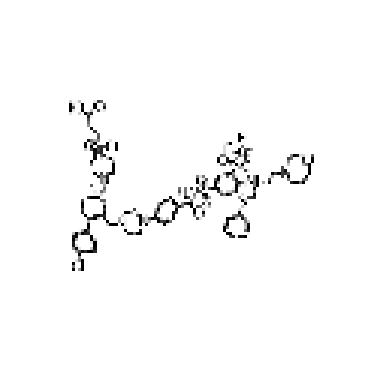 C[C@@]1(CN2CCN(S(=O)(=O)CCC(=O)O)CC2)CCC(c2ccc(Cl)cc2)=C(CN2CCN(c3ccc(C(=O)NS(=O)(=O)c4ccc(N[C@H](CCN5CCCOCC5)CSc5ccccc5)c(S(=O)(=O)C(F)(F)F)c4)cc3)CC2)C1